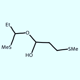 CCC(OC(O)CCSC)SC